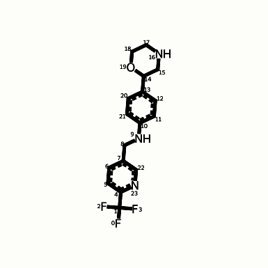 FC(F)(F)c1ccc(CNc2ccc(C3CNCCO3)cc2)cn1